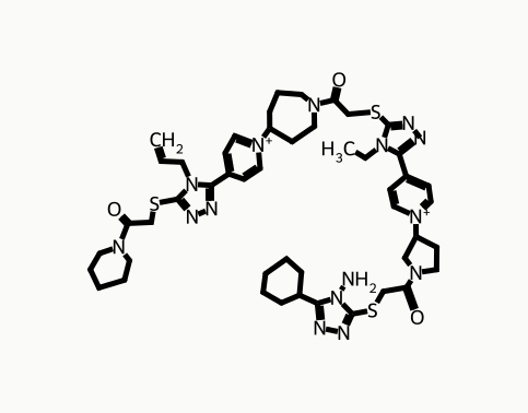 C=CCn1c(SCC(=O)N2CCCCC2)nnc1-c1cc[n+](C2CCCN(C(=O)CSc3nnc(-c4cc[n+](C5CCN(C(=O)CSc6nnc(C7CCCCC7)n6N)C5)cc4)n3CC)CC2)cc1